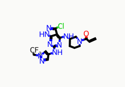 C=CC(=O)N1CCC[C@@H](Nc2nc(Nc3cnn(CC(F)(F)F)c3)nc3[nH]nc(Cl)c23)C1